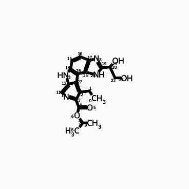 CCc1c(C(=O)OC(C)C)ncc2[nH]c3ccc4nc(C(O)CO)[nH]c4c3c12